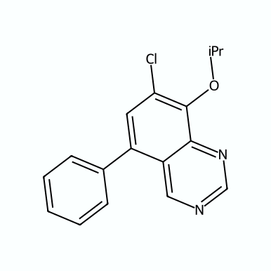 CC(C)Oc1c(Cl)cc(-c2ccccc2)c2cncnc12